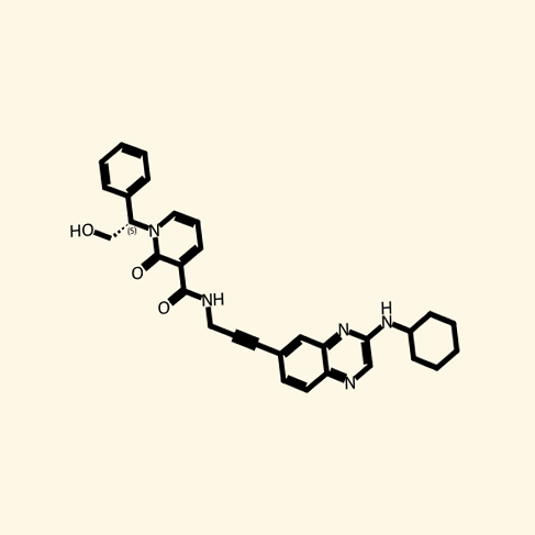 O=C(NCC#Cc1ccc2ncc(NC3CCCCC3)nc2c1)c1cccn([C@H](CO)c2ccccc2)c1=O